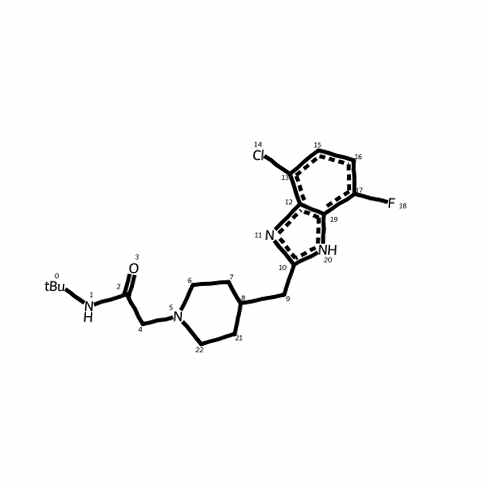 CC(C)(C)NC(=O)CN1CCC(Cc2nc3c(Cl)ccc(F)c3[nH]2)CC1